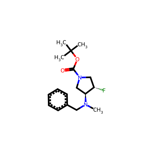 CN(Cc1ccccc1)[C@H]1CN(C(=O)OC(C)(C)C)C[C@@H]1F